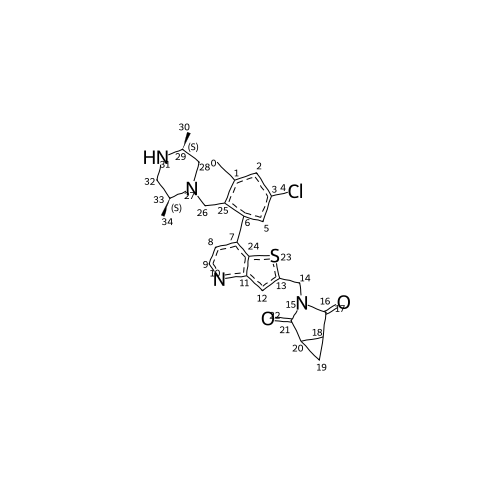 Cc1cc(Cl)cc(-c2ccnc3cc(CN4C(=O)C5CC5C4=O)sc23)c1CN1C[C@H](C)NC[C@@H]1C